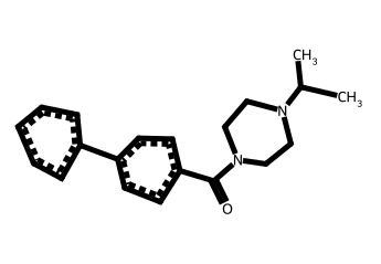 CC(C)N1CCN(C(=O)c2ccc(-c3ccccc3)cc2)CC1